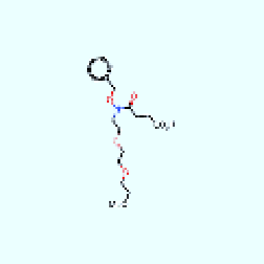 COCCOCCOCCN(OCc1ccccc1)C(=O)CCC(=O)O